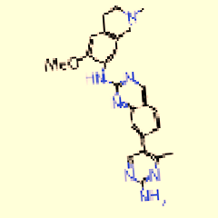 COc1cc2c(cc1Nc1ncc3ccc(-c4cnc(N)nc4C)cc3n1)CN(C)CC2